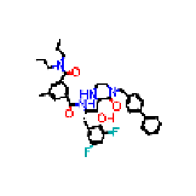 CCCN(CCC)C(=O)c1cc(C)cc(C(=O)N[C@@H](Cc2cc(F)cc(F)c2)[C@H](O)[C@@H]2NCCN(Cc3ccc(-c4ccccc4)cc3)C2=O)c1